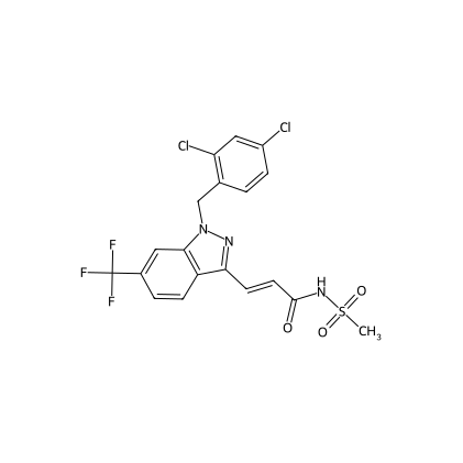 CS(=O)(=O)NC(=O)/C=C/c1nn(Cc2ccc(Cl)cc2Cl)c2cc(C(F)(F)F)ccc12